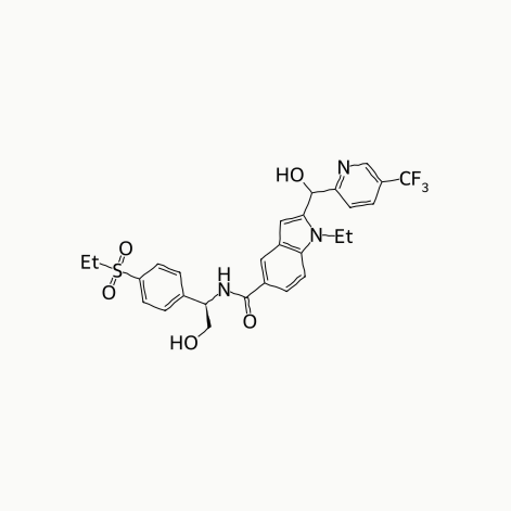 CCn1c(C(O)c2ccc(C(F)(F)F)cn2)cc2cc(C(=O)N[C@@H](CO)c3ccc(S(=O)(=O)CC)cc3)ccc21